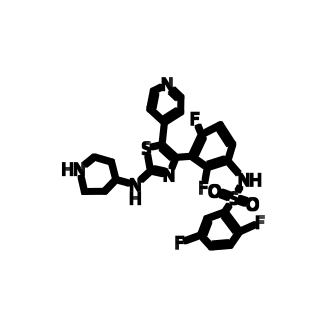 O=S(=O)(Nc1ccc(F)c(-c2nc(NC3CCNCC3)sc2-c2ccncc2)c1F)c1cc(F)ccc1F